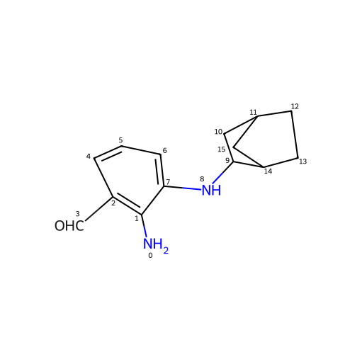 Nc1c(C=O)cccc1NC1CC2CCC1C2